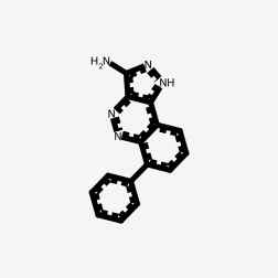 Nc1n[nH]c2c1nnc1c(-c3ccccc3)cccc12